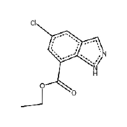 CCOC(=O)c1cc(Cl)cc2cn[nH]c12